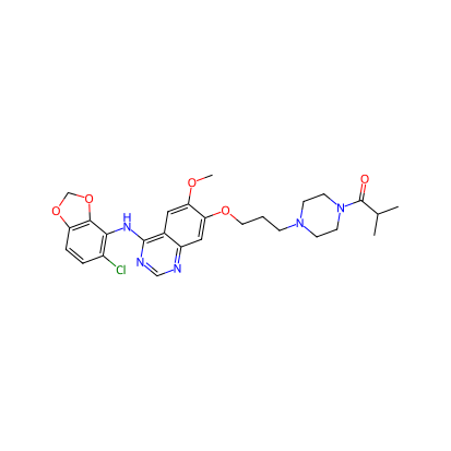 COc1cc2c(Nc3c(Cl)ccc4c3OCO4)ncnc2cc1OCCCN1CCN(C(=O)C(C)C)CC1